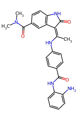 CC(Nc1ccc(C(=O)Nc2ccccc2N)cc1)=C1C(=O)Nc2ccc(C(=O)N(C)C)cc21